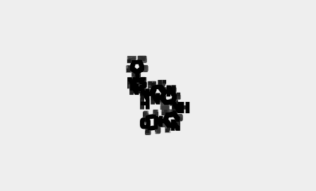 c1ncc(N2CCOCC2)cc1Nc1cnc2ccc(Nc3nnc(C4CCCC4)s3)nc2c1